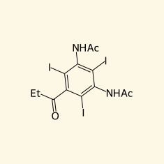 CCC(=O)c1c(I)c(NC(C)=O)c(I)c(NC(C)=O)c1I